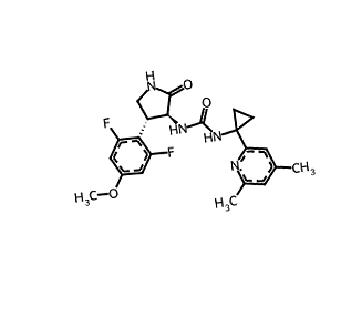 COc1cc(F)c([C@@H]2CNC(=O)[C@H]2NC(=O)NC2(c3cc(C)cc(C)n3)CC2)c(F)c1